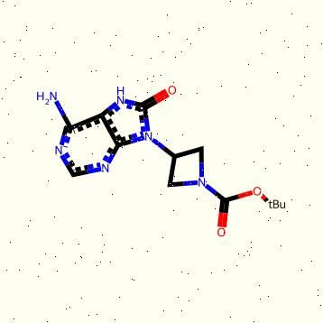 CC(C)(C)OC(=O)N1CC(n2c(=O)[nH]c3c(N)ncnc32)C1